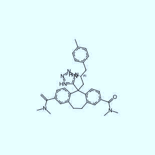 C=C(c1ccc2c(c1)CCc1cc(C(=O)N(C)C)ccc1C2(C[C@H](N)Cc1ccc(C)cc1)c1nnn[nH]1)N(C)C